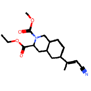 CCOC(=O)C1CC2CC(C(C)=CC#N)CCC2CN1C(=O)OC